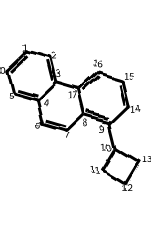 c1ccc2c(c1)ccc1c(C3CCC3)cccc12